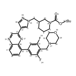 CC(C)(C)OC(=O)N1CCCC(Cn2cc(-c3cnc4cccc(-c5cc(F)c(CN6CCOCC6)c(F)c5)c4n3)cn2)C1